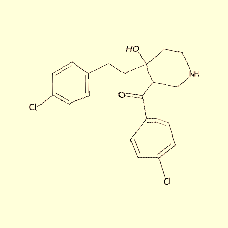 O=C(c1ccc(Cl)cc1)C1CNCCC1(O)CCc1ccc(Cl)cc1